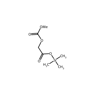 COC(=O)OCC(=O)O[Si](C)(C)C